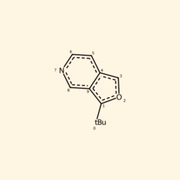 CC(C)(C)c1occ2ccncc12